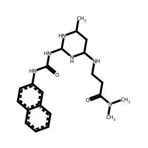 CC1CC(NCCC(=O)N(C)C)NC(NC(=O)Nc2ccc3ccccc3c2)N1